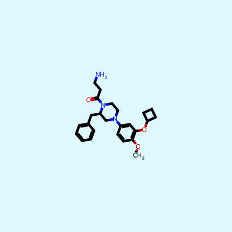 COc1ccc(N2CCN(C(=O)CCN)C(Cc3ccccc3)C2)cc1OC1CCC1